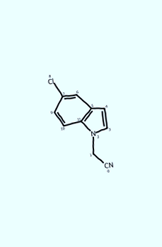 N#CCn1ccc2cc(Cl)ccc21